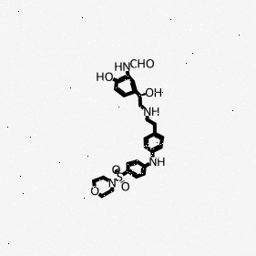 O=CNc1cc([C@@H](O)CNCCc2ccc(Nc3ccc(S(=O)(=O)N4CCOCC4)cc3)cc2)ccc1O